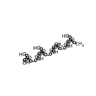 Cc1ccc(NC(=O)N(c2cccc(O)c2)c2cccc(OC(=O)Nc3ccc(Cc4ccc(NC(=O)N(C)c5cccc(OC(=O)Nc6ccc(Cc7ccc(NC(=O)N(c8cccc(O)c8)c8cccc(OC(=O)Nc9ccc(Cc%10ccc(NC(=O)N(c%11cccc(O)c%11)c%11cccc(O)c%11)cc%10)cc9)c8)cc7)cc6)c5)cc4)cc3)c2)cc1